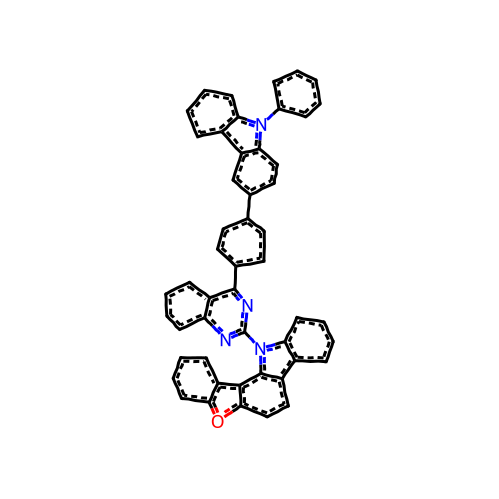 c1ccc(-n2c3ccccc3c3cc(-c4ccc(-c5nc(-n6c7ccccc7c7ccc8oc9ccccc9c8c76)nc6ccccc56)cc4)ccc32)cc1